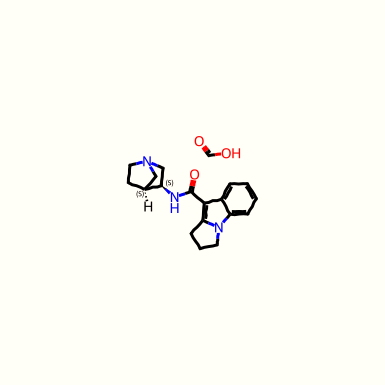 O=C(N[C@@H]1CN2CC[C@H]1C2)c1c2n(c3ccccc13)CCC2.O=CO